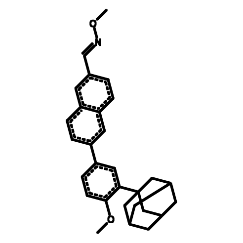 CON=Cc1ccc2cc(-c3ccc(OC)c(C45CC6CC(CC(C6)C4)C5)c3)ccc2c1